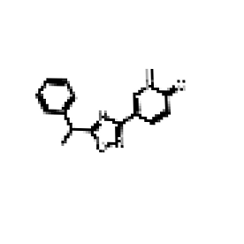 CC(c1ccccc1)c1nc(-c2ccc(=O)[nH]c2)no1